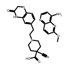 COc1ccc2nccc(N)c2n1.N#CC1(C(=O)O)CCN(CCc2ccc3c(c2)NC(=O)CS3)CC1